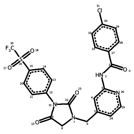 O=C(Nc1cc(CN2CC(=O)N(c3ccc(S(=O)(=O)C(F)(F)F)cc3)C2=O)ccn1)c1ccc(Cl)cc1